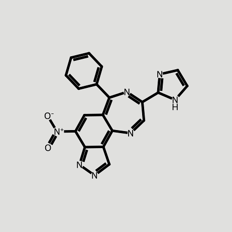 O=[N+]([O-])c1cc2c(-c3ccccc3)nc(-c3ncc[nH]3)cnc2c2cnnc12